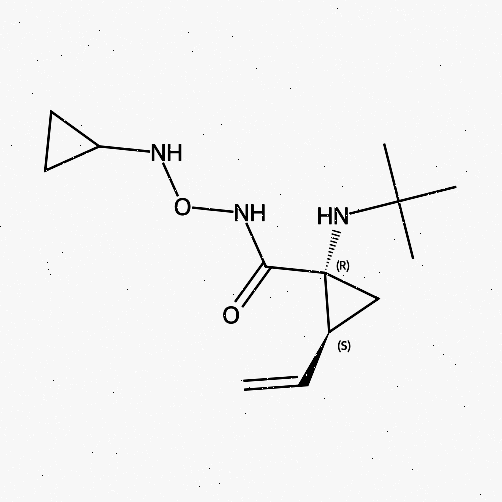 C=C[C@@H]1C[C@]1(NC(C)(C)C)C(=O)NONC1CC1